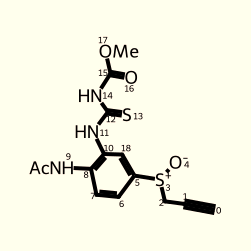 C#CC[S+]([O-])c1ccc(NC(C)=O)c(NC(=S)NC(=O)OC)c1